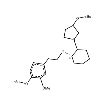 CCCCOc1ccc(CCO[C@H]2CCCCC2N2CCC(OCCCC)C2)cc1OC